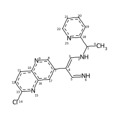 CC(N/C=C(\C=N)c1cnc2ccc(Cl)nc2c1)c1ccccn1